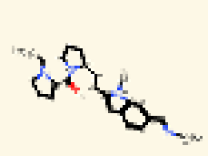 CCOC(=O)CN1CCC[C@@H]1C(=O)N1CCC[C@H]1CCc1cc2ccc(C=NNC(C)=O)cc2n1CC